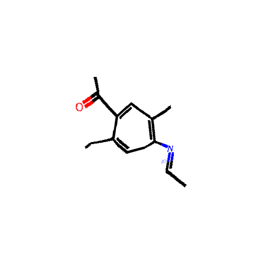 C/C=N/c1cc(C)c(C(C)=O)cc1C